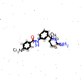 CC1(c2cccc(NC(=O)c3ccc([N+](=O)[O-])cc3)c2)CCSC(N)=N1